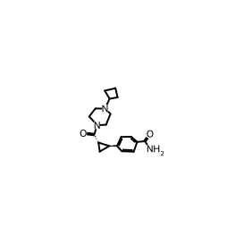 NC(=O)c1ccc([C@H]2C[C@@H]2C(=O)N2CCN(C3CCC3)CC2)cc1